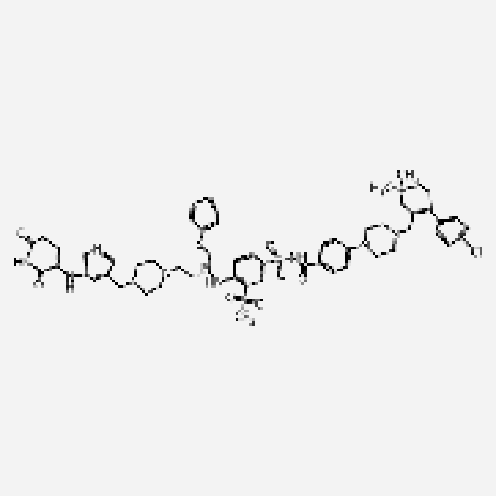 CC1(C)CCC(c2ccc(Cl)cc2)=C(CN2CCN(c3ccc(C(=O)NS(=O)(=O)c4ccc(N[C@H](CCN5CCN(Cc6cncc(NC7CCC(=O)NC7=O)c6)CC5)CSc5ccccc5)c(S(=O)(=O)C(F)(F)F)c4)cc3)CC2)C1